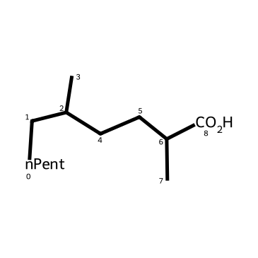 CCCCCCC(C)CCC(C)C(=O)O